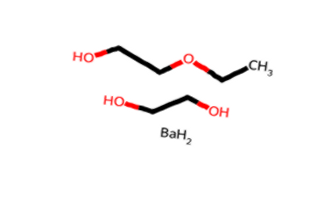 CCOCCO.OCCO.[BaH2]